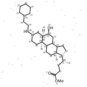 COC(=O)CC[C@@H](C)[C@H]1CCC2C3C[C@H](O)[C@@H]4CN(NCCN5CCCCC5)CC[C@]4(C)C3CC[C@@]21C